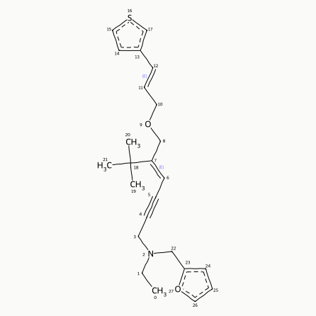 CCN(CC#C/C=C(/COC/C=C/c1ccsc1)C(C)(C)C)Cc1ccco1